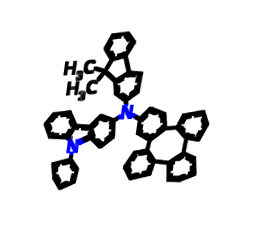 CC1(C)c2ccccc2-c2ccc(N(c3ccc4c(c3)-c3ccccc3-c3ccccc3-c3ccccc3-4)c3ccc4c(c3)c3ccccc3n4-c3ccccc3)cc21